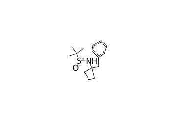 CC(C)(C)[S+]([O-])NC1(Cc2ccccc2)CCC1